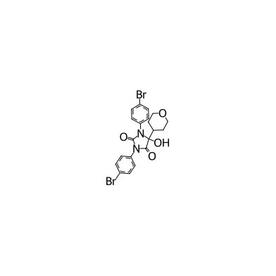 O=C1N(c2ccc(Br)cc2)C(=O)C(O)(C2CCOCC2)N1c1ccc(Br)cc1